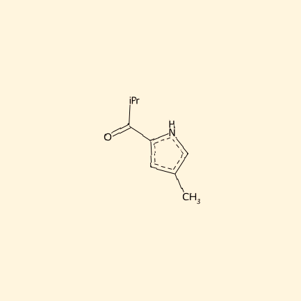 Cc1c[nH]c(C(=O)C(C)C)c1